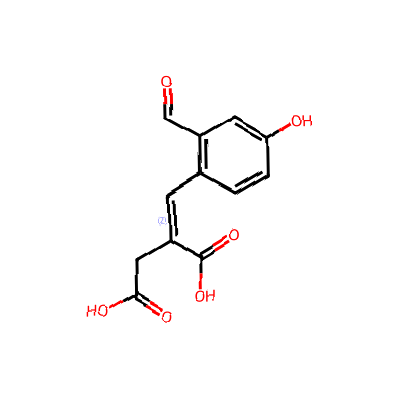 O=Cc1cc(O)ccc1/C=C(/CC(=O)O)C(=O)O